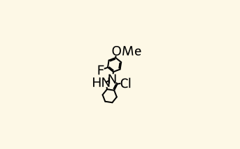 COc1ccc(N2NC3CCCCC3=C2Cl)c(F)c1